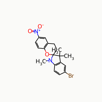 CN1c2ccc(Br)cc2C(C)(C)C12CCc1cc([N+](=O)[O-])ccc1O2